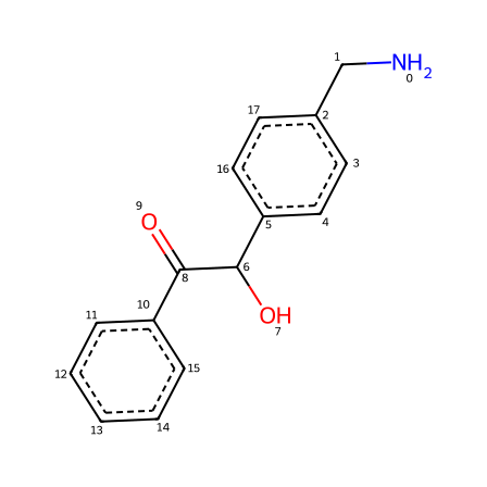 NCc1ccc(C(O)C(=O)c2ccccc2)cc1